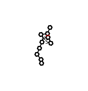 c1ccc(-c2cccc(-c3ccccc3N(c3ccc(-c4ccc(-c5cccc(-c6ccc7ccccc7c6)c5)cc4)cc3)c3cccc4c3sc3ccccc34)c2)cc1